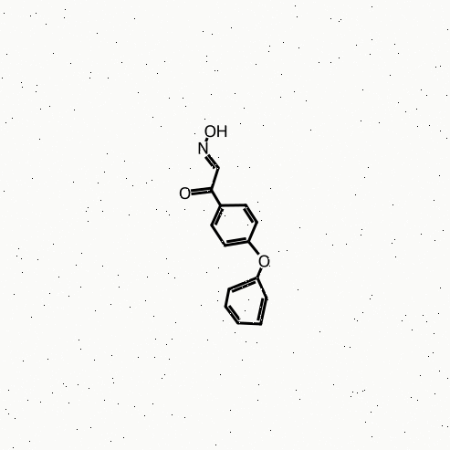 O=C(C=NO)c1ccc(Oc2ccccc2)cc1